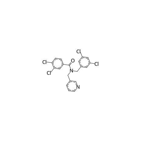 O=C(c1ccc(Cl)c(Cl)c1)N(Cc1cccnc1)Cc1cc(Cl)cc(Cl)c1